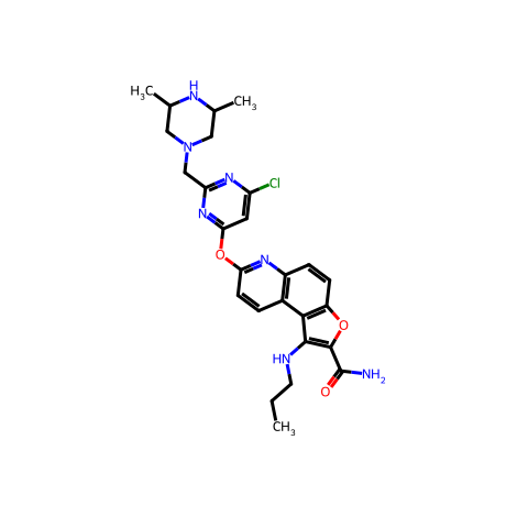 CCCNc1c(C(N)=O)oc2ccc3nc(Oc4cc(Cl)nc(CN5CC(C)NC(C)C5)n4)ccc3c12